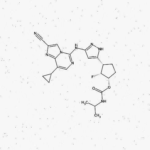 CC(C)NC(=O)O[C@H]1CC[C@@H](c2cc(Nc3ncc(C4CC4)c4nc(C#N)cn34)n[nH]2)[C@H]1F